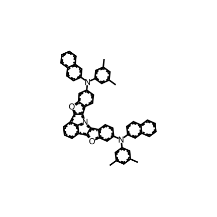 Cc1cc(C)cc(N(c2ccc3ccccc3c2)c2ccc3c(c2)oc2c4cccc5c6oc7cc(N(c8cc(C)cc(C)c8)c8ccc9ccccc9c8)ccc7c6n(c45)c32)c1